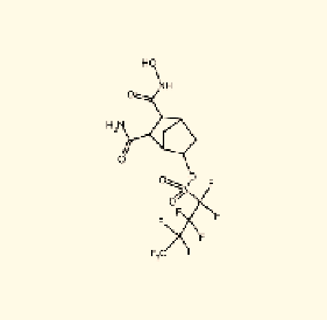 NC(=O)C1C2CC(CC2OS(=O)(=O)C(F)(F)C(F)(F)C(F)(F)C(F)(F)F)C1C(=O)NO